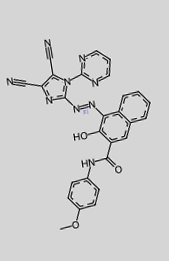 COc1ccc(NC(=O)c2cc3ccccc3c(/N=N/c3nc(C#N)c(C#N)n3-c3ncccn3)c2O)cc1